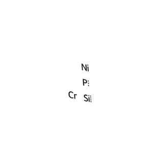 [Cr].[Ni].[P].[Si]